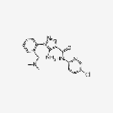 CN(C)Cc1ccccc1-n1ncc(C(=O)Nc2ccc(Cl)cn2)c1N